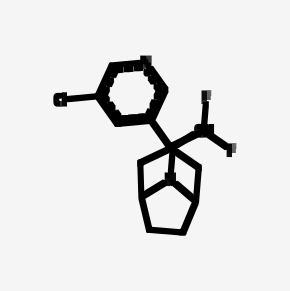 N#CC1(c2cncc(Cl)c2)CC2CCC(C1)N2CC(F)F